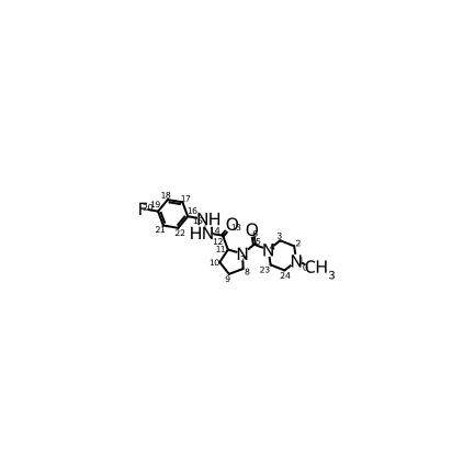 CN1CCN(C(=O)N2CCCC2C(=O)NNc2ccc(F)cc2)CC1